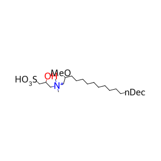 CCCCCCCCCCCCCCCCCCCCC(C[N+](C)(C)CC(O)CS(=O)(=O)O)OC